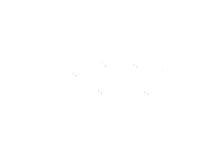 CCn1c(=O)n(C)c(=O)c2[nH]c(N3CCOCC3)nc21